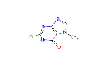 Cn1cnc2nc(Cl)[nH]c(=O)c21